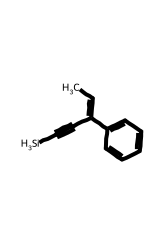 CC=C(C#C[SiH3])c1ccccc1